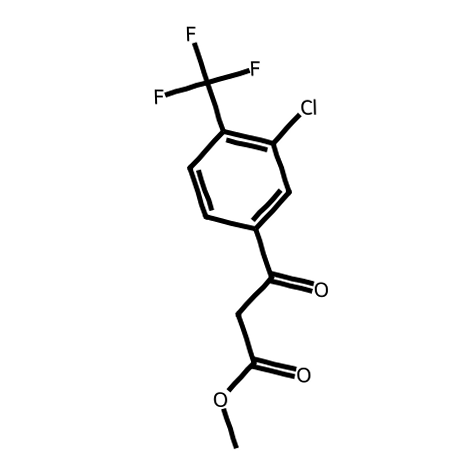 COC(=O)CC(=O)c1ccc(C(F)(F)F)c(Cl)c1